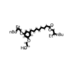 CCCCC(CC)COC(=O)CCCCCCCc1cc(OCCO)cc(OCC(CC)CCCC)c1